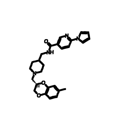 Cc1ccc2c(c1)O[C@@H](CN1CCC(CNC(=O)c3ccc(-n4cccc4)nc3)CC1)CO2